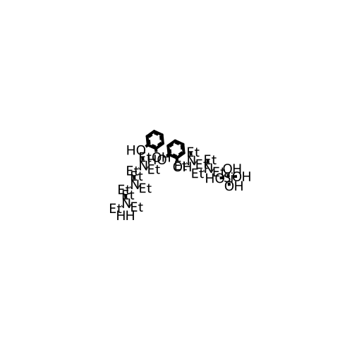 CCN(CC)CC.CCN(CC)CC.CCN(CC)CC.CCN(CC)CC.CCN(CC)CC.O[Si](O)(O)O.Oc1ccccc1O.Oc1ccccc1O.[HH]